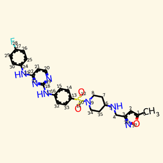 Cc1cc(CNC2CCN(S(=O)(=O)c3ccc(Nc4nccc(Nc5ccc(F)cc5)n4)cc3)CC2)no1